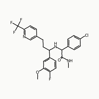 CNC(=O)C(NC(CCc1ccc(C(F)(F)F)nc1)c1ccc(F)c(OC)c1)c1ccc(Cl)cc1